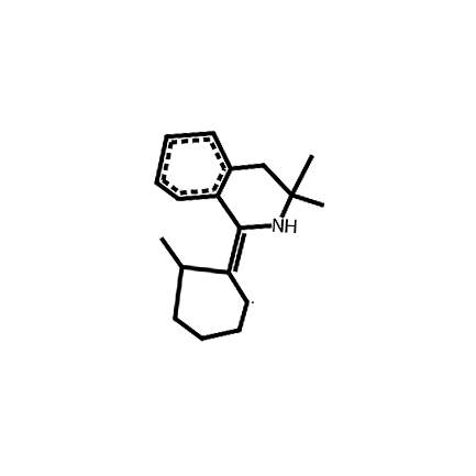 CC1CCC[CH]/C1=C1\NC(C)(C)Cc2ccccc21